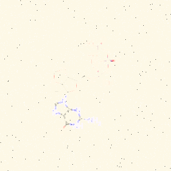 Nc1nc2c(ncn2[C@@H]2O[C@H](COP(=O)(O)OP(=O)(O)OP(=O)(O)O)C3OCO[C@@H]32)c(=O)[nH]1